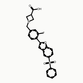 O=C(O)C1CN(Cc2ccc(-c3cc4cc(S(=O)(=O)c5ccccc5)ccc4o3)c(F)c2)C1